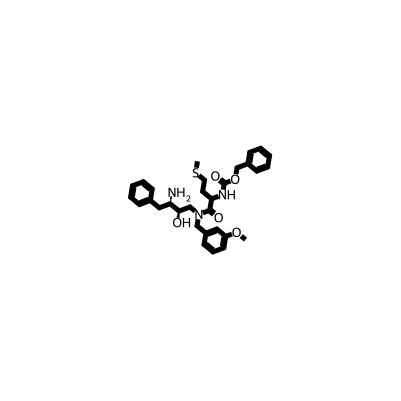 COc1cccc(CN(C[C@@H](O)[C@@H](N)Cc2ccccc2)C(=O)C(CCSC)NC(=O)OCc2ccccc2)c1